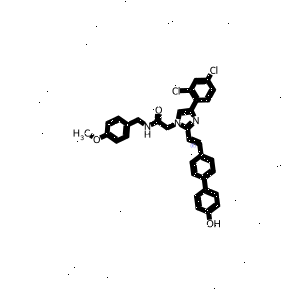 COc1ccc(CNC(=O)Cn2cc(-c3ccc(Cl)cc3Cl)nc2/C=C/c2ccc(-c3ccc(O)cc3)cc2)cc1